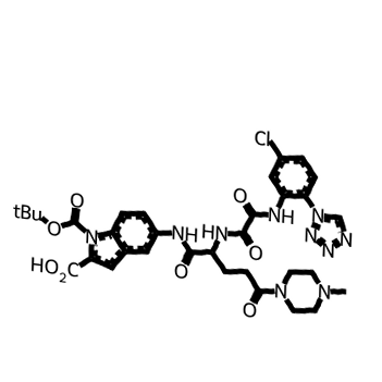 CN1CCN(C(=O)CCC(NC(=O)C(=O)Nc2cc(Cl)ccc2-n2cnnn2)C(=O)Nc2ccc3c(c2)cc(C(=O)O)n3C(=O)OC(C)(C)C)CC1